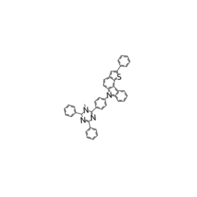 CN1C(c2ccc(-n3c4ccccc4c4c5sc(-c6ccccc6)cc5ccc43)cc2)=NC(c2ccccc2)=NC1c1ccccc1